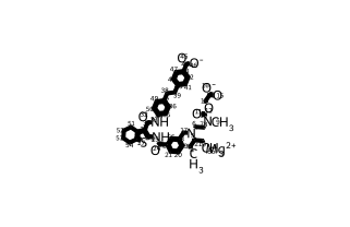 CCC(CC)N(CCN(C)C(=O)OCC(=O)[O-])Cc1cccc(C(=O)Nc2sc3c(c2C(=O)Nc2ccc(CCc4ccc(C(=O)[O-])cc4)cc2)CCCC3)c1.[Mg+2]